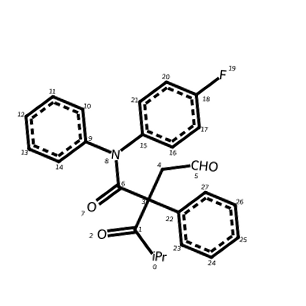 CC(C)C(=O)C(CC=O)(C(=O)N(c1ccccc1)c1ccc(F)cc1)c1ccccc1